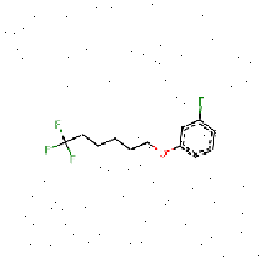 Fc1cccc(OCCCCCC(F)(F)F)c1